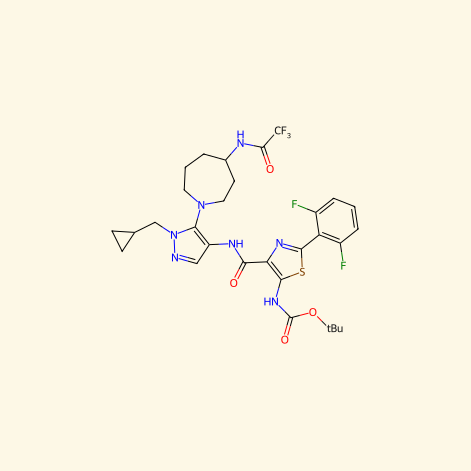 CC(C)(C)OC(=O)Nc1sc(-c2c(F)cccc2F)nc1C(=O)Nc1cnn(CC2CC2)c1N1CCCC(NC(=O)C(F)(F)F)CC1